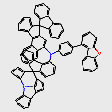 c1ccc2c(c1)-c1ccccc1C21c2ccccc2-c2c1cc(N(c1ccc(-c3cccc4oc5ccccc5c34)cc1)c1cccc3c1-c1ccccc1C31c3ccccc3-n3c4ccccc4c4cccc1c43)c1ccccc21